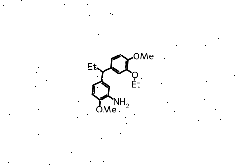 CCOc1cc(C(CC)c2ccc(OC)c(N)c2)ccc1OC